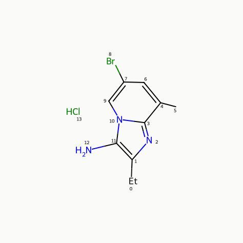 CCc1nc2c(C)cc(Br)cn2c1N.Cl